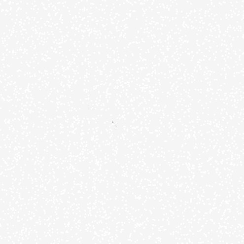 C1=CSCN=C1.Cl